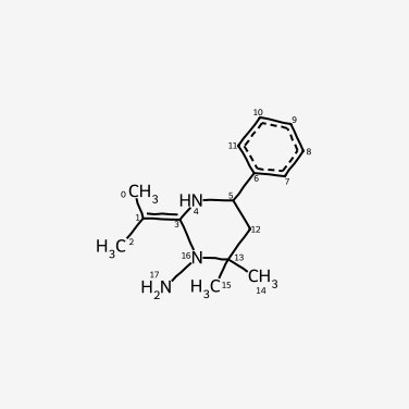 CC(C)=C1NC(c2ccccc2)CC(C)(C)N1N